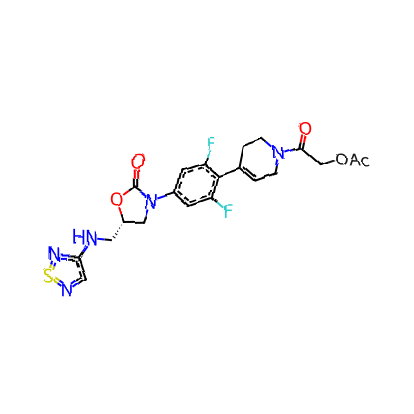 CC(=O)OCC(=O)N1CC=C(c2c(F)cc(N3C[C@H](CNc4cnsn4)OC3=O)cc2F)CC1